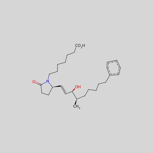 C[C@H](CCCCCc1ccccc1)[C@H](O)C=C[C@H]1CCC(=O)N1CCCCCCC(=O)O